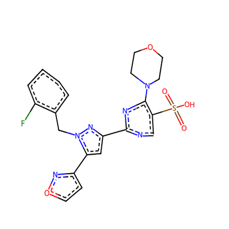 O=S(=O)(O)c1cnc(-c2cc(-c3ccon3)n(Cc3ccccc3F)n2)nc1N1CCOCC1